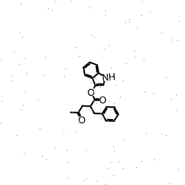 CC(=O)CC(Cc1ccccc1)C(=O)Oc1c[nH]c2ccccc12